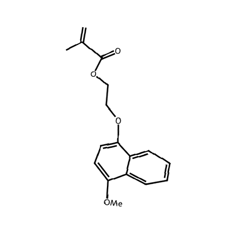 C=C(C)C(=O)OCCOc1ccc(OC)c2ccccc12